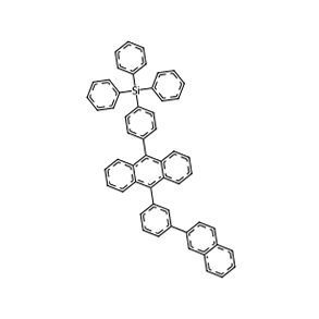 c1ccc([Si](c2ccccc2)(c2ccccc2)c2ccc(-c3c4ccccc4c(-c4cccc(-c5ccc6ccccc6c5)c4)c4ccccc34)cc2)cc1